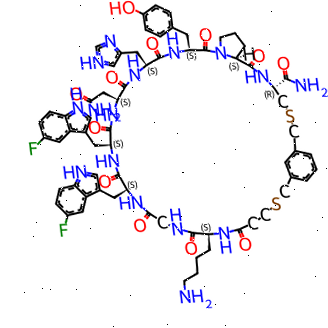 NCCCC[C@@H]1NC(=O)CCSCc2cccc(c2)CSC[C@@H](C(N)=O)NC(=O)[C@@H]2CCCN2C(=O)[C@H](Cc2ccc(O)cc2)NC(=O)[C@H](Cc2c[nH]cn2)NC(=O)[C@H](CC(N)=O)NC(=O)[C@H](Cc2c[nH]c3ccc(F)cc23)NC(=O)[C@H](Cc2c[nH]c3ccc(F)cc23)NC(=O)CNC1=O